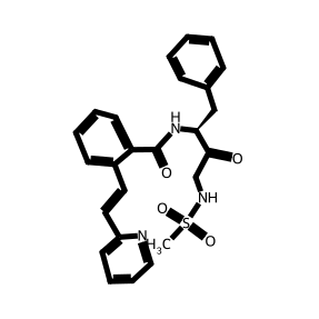 CS(=O)(=O)NCC(=O)[C@H](Cc1ccccc1)NC(=O)c1ccccc1C=Cc1ccccn1